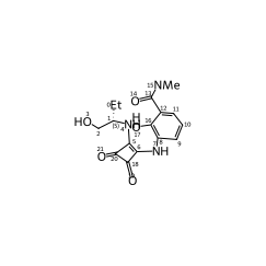 CC[C@@H](CO)Nc1c(Nc2cccc(C(=O)NC)c2O)c(=O)c1=O